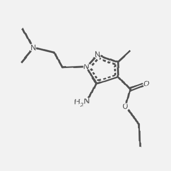 CCOC(=O)c1c(C)nn(CCN(C)C)c1N